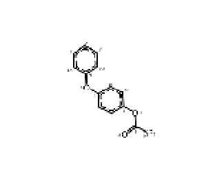 CC(C)C(=O)Oc1ccc(Oc2ccccc2)cc1